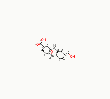 O=C(O)c1ccc2c(c1)[C@@H]1O[C@@H]2c2ccc(CO)cc21